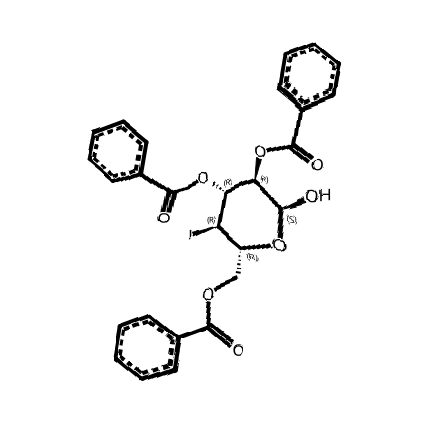 O=C(OC[C@H]1O[C@H](O)[C@H](OC(=O)c2ccccc2)[C@@H](OC(=O)c2ccccc2)[C@@H]1I)c1ccccc1